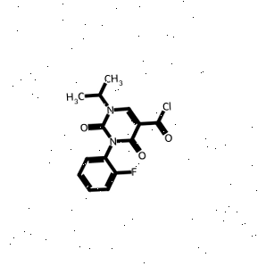 CC(C)n1cc(C(=O)Cl)c(=O)n(-c2ccccc2F)c1=O